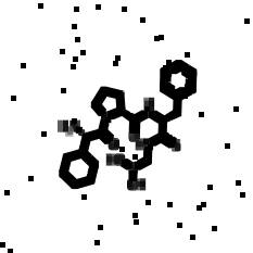 N[C@H](C(=O)N1CCC[C@H]1C(=O)N[C@@H](Cc1ccccc1)C(=S)NCB(O)O)C1CCCCC1